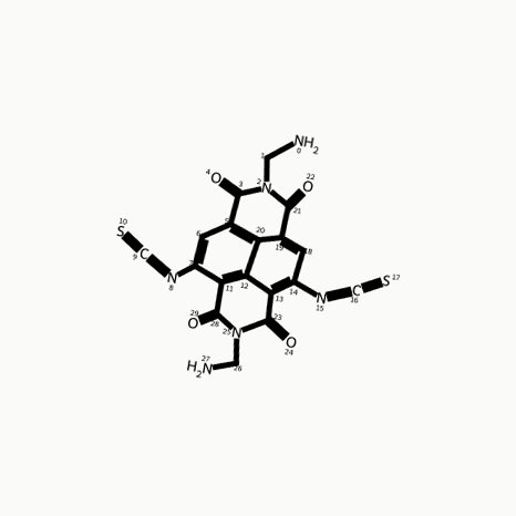 NCN1C(=O)c2cc(N=C=S)c3c4c(c(N=C=S)cc(c24)C1=O)C(=O)N(CN)C3=O